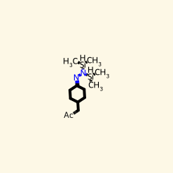 CC(=O)CC1CCC(=NN([SiH](C)C)[SiH](C)C)CC1